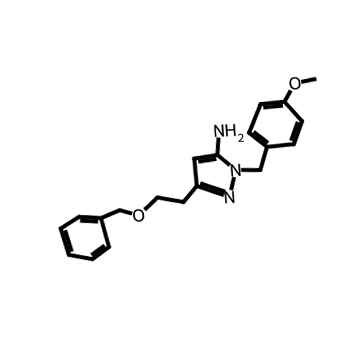 COc1ccc(Cn2nc(CCOCc3ccccc3)cc2N)cc1